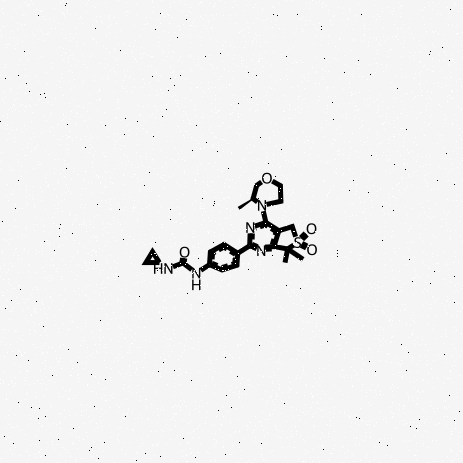 C[C@H]1COCCN1c1nc(-c2ccc(NC(=O)NC3CC3)cc2)nc2c1CS(=O)(=O)C2(C)C